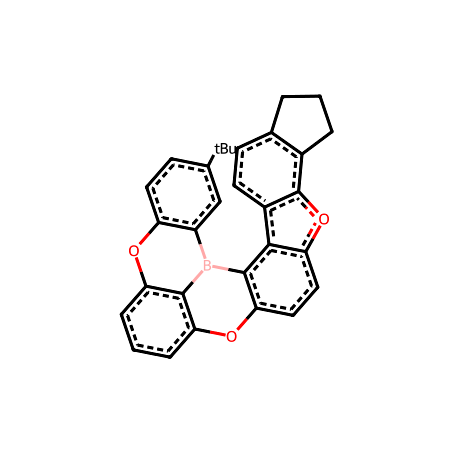 CC(C)(C)c1ccc2c(c1)B1c3c(cccc3Oc3ccc4oc5c6c(ccc5c4c31)CCC6)O2